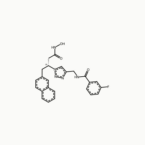 O=C(C[C@@H](Cc1ccc2ccccc2c1)n1cc(CNC(=O)c2cccc(F)c2)nn1)NO